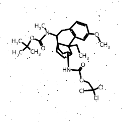 CCC12c3cc(OC)ccc3CC(N(C)C(=O)OC(C)(C)C)C13CCC(NC(=O)OCC(Cl)(Cl)Cl)C2CC3